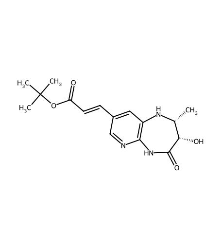 C[C@H]1Nc2cc(/C=C/C(=O)OC(C)(C)C)cnc2NC(=O)[C@H]1O